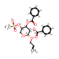 C=CCO[C@@H]1OC[C@@H](OS(=O)(=O)C(F)(F)F)C(OC(=O)c2ccccc2)[C@@H]1OC(=O)c1ccccc1